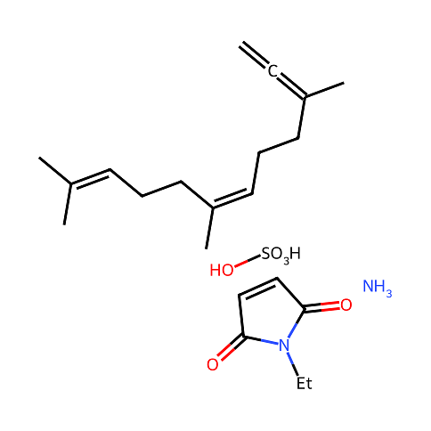 C=C=C(C)CCC=C(C)CCC=C(C)C.CCN1C(=O)C=CC1=O.N.O=S(=O)(O)O